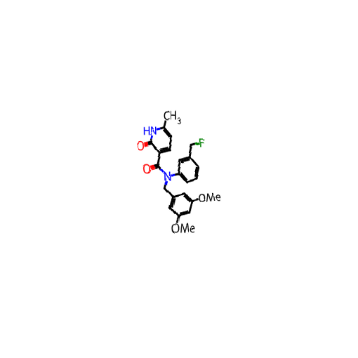 COc1cc(CN(C(=O)c2ccc(C)[nH]c2=O)c2cccc(CF)c2)cc(OC)c1